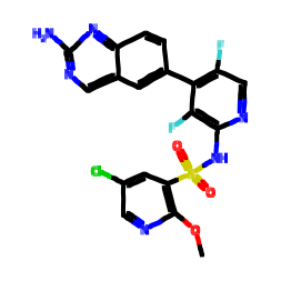 COc1ncc(Cl)cc1S(=O)(=O)Nc1ncc(F)c(-c2ccc3nc(N)ncc3c2)c1F